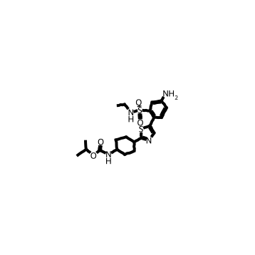 CCNS(=O)(=O)c1cc(N)ccc1-c1cnc(C2CCC(NC(=O)OC(C)C)CC2)s1